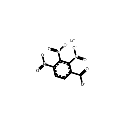 O=C([O-])c1ccc([N+](=O)[O-])c([N+](=O)[O-])c1[N+](=O)[O-].[Li+]